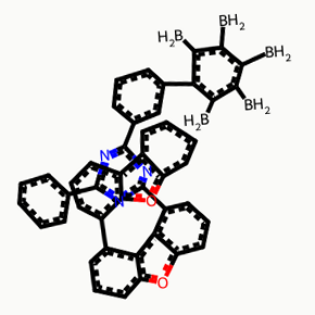 Bc1c(B)c(B)c(-c2cccc(-c3nc(-c4ccccc4)nc(-c4cccc5oc6cccc(-c7cccc8c7oc7ccccc78)c6c45)n3)c2)c(B)c1B